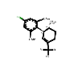 [2H]C([2H])([2H])C1=C[C@@H](c2c(OC)cc(Br)cc2OC)[C@H](C(=O)O)CC1